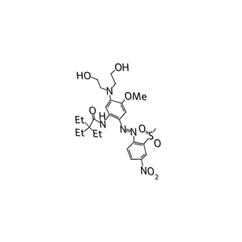 CCC(CC)(CC)C(=O)Nc1cc(N(CCO)CCO)c(OC)cc1N=Nc1ccc([N+](=O)[O-])cc1S(C)(=O)=O